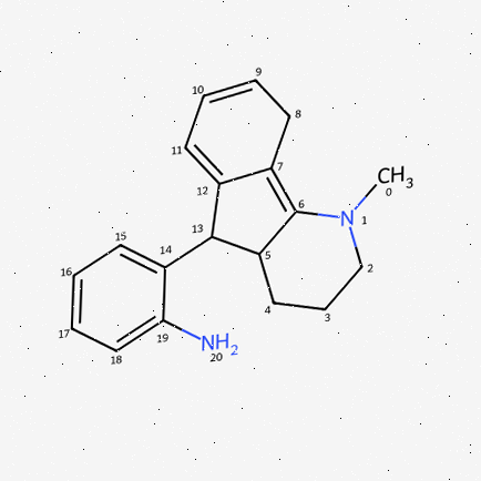 CN1CCCC2C1=C1CC=CC=C1C2c1ccccc1N